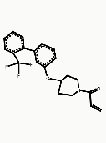 C=CC(=O)N1CCC(Oc2cccc(-c3ccccc3C(F)(F)F)c2)CC1